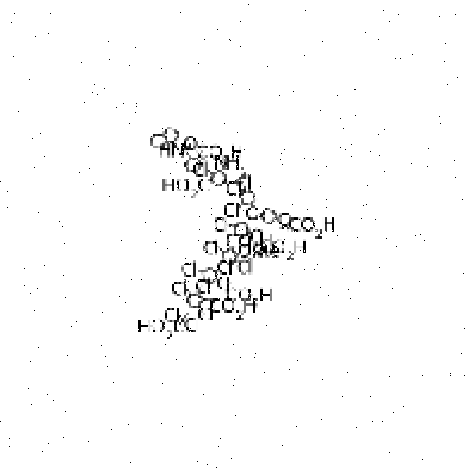 CC(C)(Oc1ccc(Oc2ccc(Cl)cc2Cl)cc1)C(=O)O.CC(Cl)(Cl)C(=O)O.CC(Oc1ccc(Cl)cc1)C(=O)O.COc1c(Cl)ccc(Cl)c1C(=O)O.Nc1cc(Cl)cc(C(=O)O)c1Cl.O=C(O)COc1ccc(Cl)cc1Cl.O=C(O)Cc1c(Cl)ccc(Cl)c1Cl.O=C(O)c1ccccc1C(=O)Nc1cccc2ccccc12